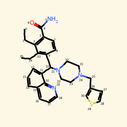 CCc1c(C(N)=O)ccc(C(c2cccc3cccnc23)N2CCN(Cc3ccsc3)CC2)c1CC